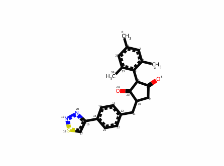 Cc1cc(C)c(C2C(=O)CC(Cc3ccc(-c4csnn4)cc3)C2=O)c(C)c1